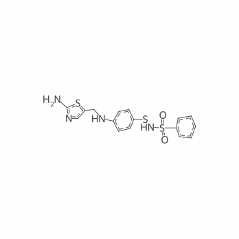 Nc1ncc(CNc2ccc(SNS(=O)(=O)c3ccccc3)cc2)s1